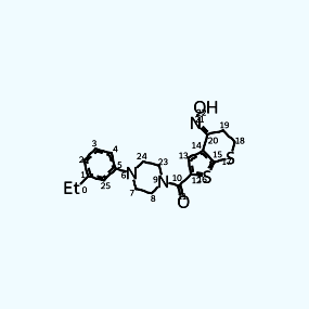 CCc1cccc(N2CCN(C(=O)c3cc4c(s3)SCCC4=NO)CC2)c1